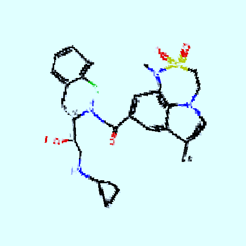 CCc1cn2c3c(cc(C(=O)N[C@@H](Cc4ccccc4Cl)[C@H](O)CNC4CC4)cc13)N(C)S(=O)(=O)CC2